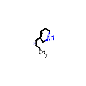 CC/C=C\C1=CCCNC1